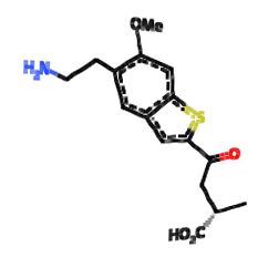 COc1cc2sc(C(=O)C[C@H](C)C(=O)O)cc2cc1CCN